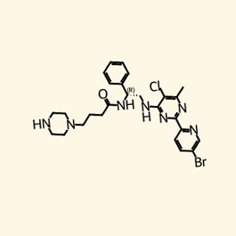 Cc1nc(-c2ccc(Br)cn2)nc(NC[C@H](NC(=O)CCCN2CCNCC2)c2ccccc2)c1Cl